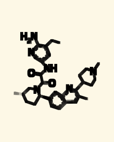 CCc1cc(NC(=O)C(=O)N2C[C@@H](C)CC[C@@H]2c2ccc3cc(C)c(C4CCN(C)CC4)nc3c2)cnc1N